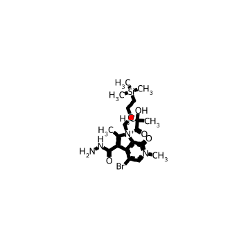 CC1=C(C(=O)NN)c2c(Br)cn(C)c(=O)c2[N+]1(COCC[Si](C)(C)C)C(=O)C(C)(C)O